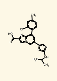 Cc1ccc(-c2cc(-c3cnc(NC(C)C)s3)cn3cc(C(=O)O)nc23)c(Cl)c1